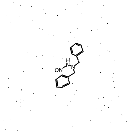 O=NNN(Cc1ccccc1)Cc1ccccc1